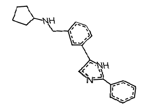 c1ccc(-c2ncc(-c3cccc(CNC4CCCC4)c3)[nH]2)cc1